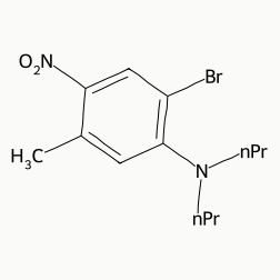 CCCN(CCC)c1cc(C)c([N+](=O)[O-])cc1Br